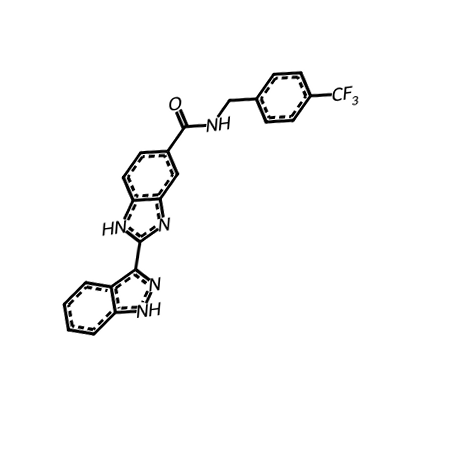 O=C(NCc1ccc(C(F)(F)F)cc1)c1ccc2[nH]c(-c3n[nH]c4ccccc34)nc2c1